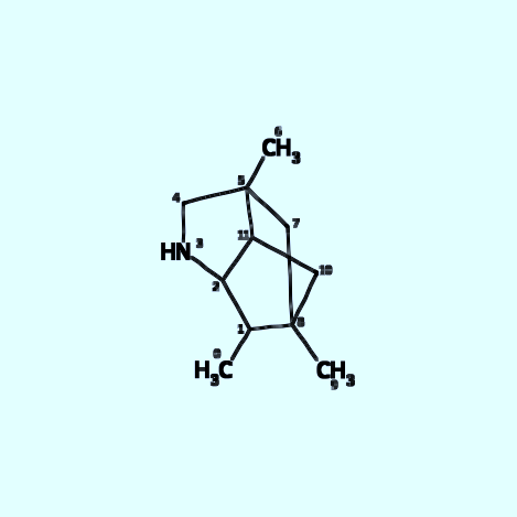 CC1C2NCC3(C)CC1(C)CC23